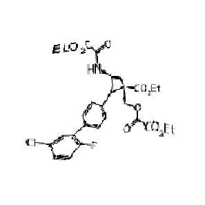 CCOC(=O)C(=O)N[C@H]1C[C@@](COC(=O)C(=O)OCC)(C(=O)OCC)C1c1ccc(-c2cc(Cl)ccc2F)cc1